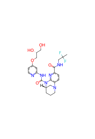 CC(F)(F)CNC(=O)c1ccc2c(n1)N(C(=O)Nc1cc(OC[C@H](O)CO)ccn1)[C@H]1CCCN2C1